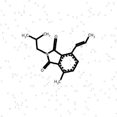 C/C=C/c1ccc(C)c2c1C(=O)N(CC(C)C)C2=O